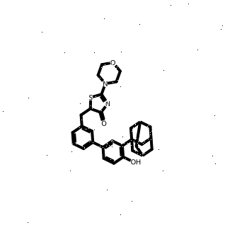 O=C1N=C(N2CCOCC2)SC1Cc1cccc(-c2ccc(O)c(C34CC5CC(CC(C5)C3)C4)c2)c1